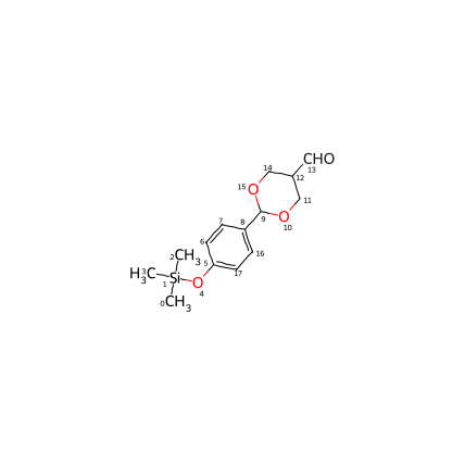 C[Si](C)(C)Oc1ccc(C2OCC(C=O)CO2)cc1